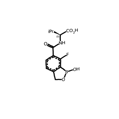 CC(C)[C@H](NC(=O)c1ccc2c(c1F)B(O)OC2)C(=O)O